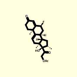 CC(=O)OCC(=O)[C@@]1(O)[C@@H](C)C[C@H]2[C@@H]3C[C@H](F)C4=CC(=O)CC[C@]4(C)C3=CC[C@@]21C